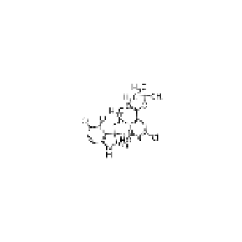 CN(CC1(CO)C(=O)NC2=C1C(=O)C(=O)C=C2)c1nnc(Cl)cc1C(=O)OC(C)(C)C